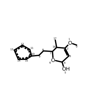 COC1=CC(O)OC(CCc2ccccc2)C1C